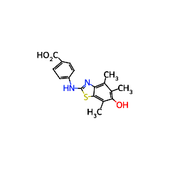 Cc1c(O)c(C)c2sc(Nc3ccc(C(=O)O)cc3)nc2c1C